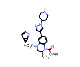 COC(=O)N1c2ccc(-c3cnn(C4CCNCC4)c3)cc2N(C(=O)O)C[C@@H]1C.c1cc2cc-2n1